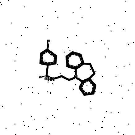 C[C@@H](NCCN1c2ccccc2CCc2ccccc21)c1ccc(F)cc1